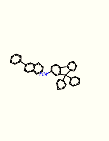 c1ccc(-c2ccc3cc(Nc4ccc5c(c4)C(c4ccccc4)(c4ccccc4)c4ccccc4-5)ccc3c2)cc1